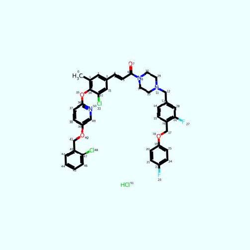 Cc1cc(C=CC(=O)N2CCN(Cc3ccc(COc4ccc(F)cc4)c(F)c3)CC2)cc(Cl)c1Oc1ccc(OCc2ccccc2Cl)cn1.Cl